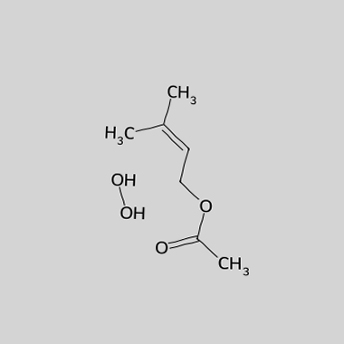 CC(=O)OCC=C(C)C.OO